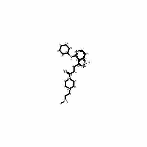 COCCN1CCN(C(=O)CCc2n[nH]c3ccnc(NC4CCCCC4)c23)CC1